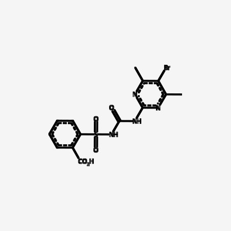 Cc1nc(NC(=O)NS(=O)(=O)c2ccccc2C(=O)O)nc(C)c1Br